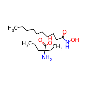 CCCC(N)(CC)C(=O)O.CCCCCCCCCC(=O)NO